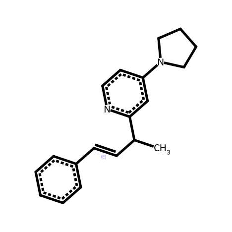 CC(/C=C/c1ccccc1)c1cc(N2CCCC2)ccn1